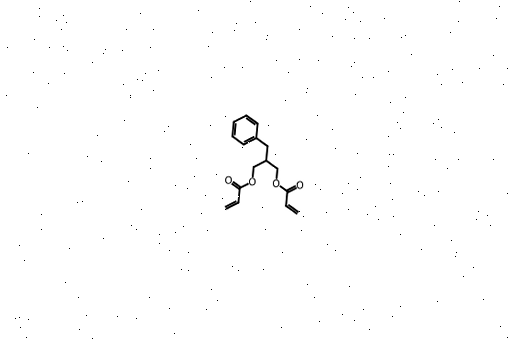 C=CC(=O)OCC(COC(=O)C=C)Cc1ccccc1